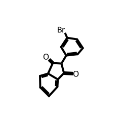 O=C1c2ccccc2C(=O)C1c1cccc(Br)c1